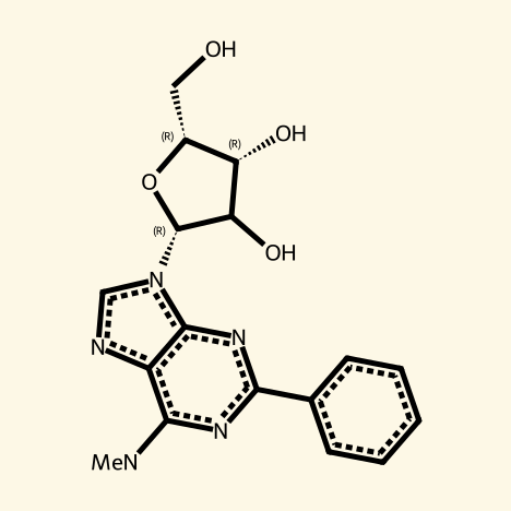 CNc1nc(-c2ccccc2)nc2c1ncn2[C@@H]1O[C@H](CO)[C@H](O)C1O